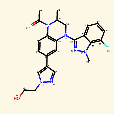 CC(=O)N1c2ccc(-c3cnn(CCO)c3)cc2N(c2nn(C)c3c(F)cccc23)CC1C